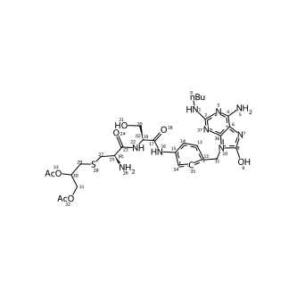 CCCCNc1nc(N)c2nc(O)n(Cc3ccc(NC(=O)[C@H](CO)NC(=O)[C@@H](N)CSCC(COC(C)=O)OC(C)=O)cc3)c2n1